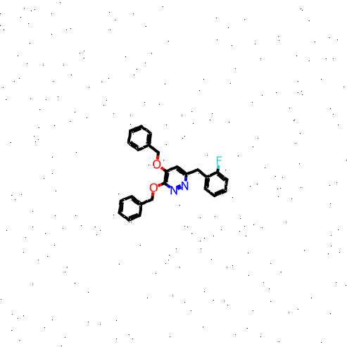 Fc1ccccc1Cc1cc(OCc2ccccc2)c(OCc2ccccc2)nn1